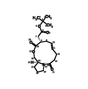 CC(C)(C)OC(=O)C[C@@H]1C/C=C/CCC(=O)N2CCC[C@H]2COC1=O